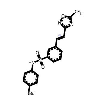 CC(C)(C)c1ccc(NS(=O)(=O)c2cccc(/C=C/c3noc(C(F)(F)F)n3)c2)cc1